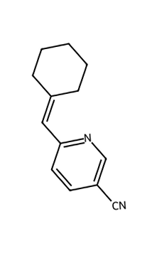 N#Cc1ccc(C=C2CCCCC2)nc1